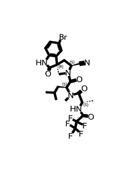 CC(C)C[C@@H](C(=O)N1C[C@]2(C[C@H]1C#N)C(=O)Nc1ccc(Br)cc12)N(C)C(=O)[C@H](C)NC(=O)C(F)(F)C(F)(F)F